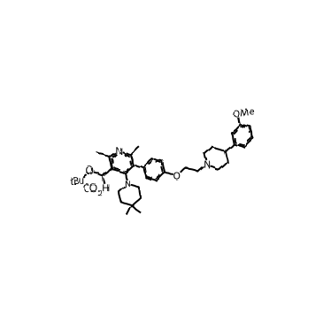 COc1cccc(C2CCN(CCOc3ccc(-c4c(C)nc(C)c([C@H](OC(C)(C)C)C(=O)O)c4N4CCC(C)(C)CC4)cc3)CC2)c1